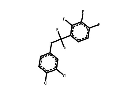 Fc1ccc(C(F)(F)[CH]c2ccc(Cl)c(Cl)c2)c(F)c1F